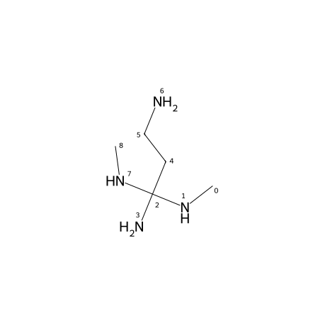 CNC(N)(CCN)NC